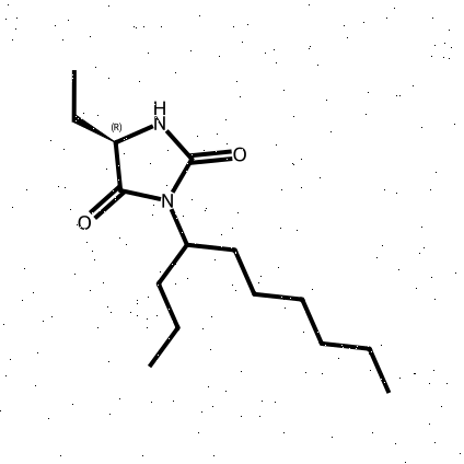 CCCCCCC(CCC)N1C(=O)N[C@H](CC)C1=O